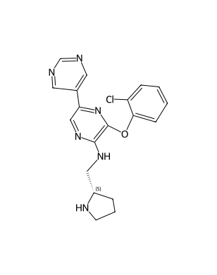 Clc1ccccc1Oc1nc(-c2cncnc2)cnc1NC[C@@H]1CCCN1